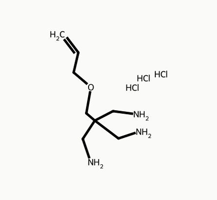 C=CCOCC(CN)(CN)CN.Cl.Cl.Cl